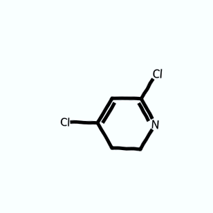 ClC1=CC(Cl)=NCC1